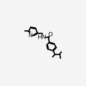 Cc1ccc(CNC(=O)c2ccc(C(C)C(C)C)cc2)cn1